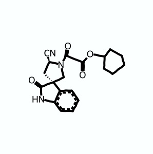 N#C[C@@H]1C[C@@]2(CN1C(=O)C(=O)OC1CCCCC1)C(=O)Nc1ccccc12